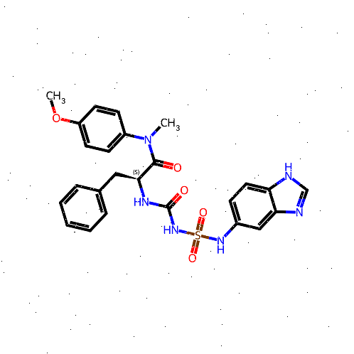 COc1ccc(N(C)C(=O)[C@H](Cc2ccccc2)NC(=O)NS(=O)(=O)Nc2ccc3[nH]cnc3c2)cc1